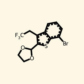 FC(F)(F)Cc1c(C2OCCO2)sc2c(Br)cccc12